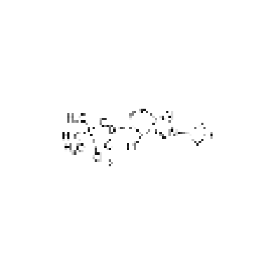 CC1(C)OB(c2ccc3nn(C4COC4)cc3c2Cl)OC1(C)C